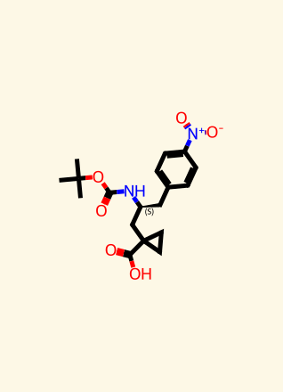 CC(C)(C)OC(=O)N[C@@H](Cc1ccc([N+](=O)[O-])cc1)CC1(C(=O)O)CC1